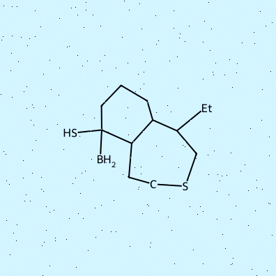 BC1(S)CCCC2C(CC)CSCCC21